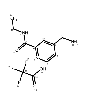 NCc1ccnc(C(=O)NCC(F)(F)F)c1.O=C(O)C(F)(F)F